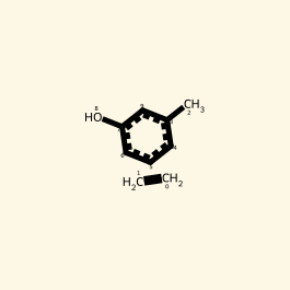 C=C.Cc1cccc(O)c1